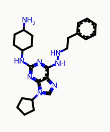 NC1CCC(Nc2nc(NNCCc3ccccc3)c3ncn(C4CCCC4)c3n2)CC1